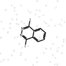 Ic1nnc(I)c2ccccc12